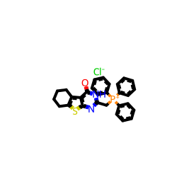 O=c1[nH]c(C[P+](c2ccccc2)(c2ccccc2)c2ccccc2)nc2sc3c(c12)CCCC3.[Cl-]